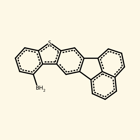 Bc1cccc2sc3cc4c(cc3c12)-c1cccc2cccc-4c12